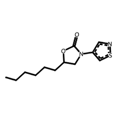 CCCCCCC1CN(c2cnsc2)C(=O)O1